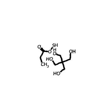 CCC(=O)OS.OCC(CO)(CO)CO